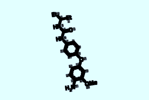 CCC(CC)NC(=O)Nc1ccc(Oc2ccc(N)c(OC)c2)cc1